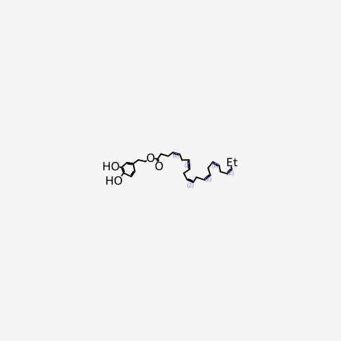 CC/C=C\C/C=C\C/C=C\C/C=C\C/C=C\C/C=C\CCC(=O)OCCc1ccc(O)c(O)c1